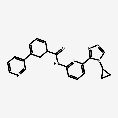 O=C(Nc1cccc(-c2nncn2C2CC2)n1)C1C=CC=C(c2cccnc2)C1